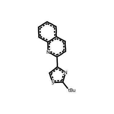 CC(C)(C)c1nc(-c2ccc3ccccc3n2)cs1